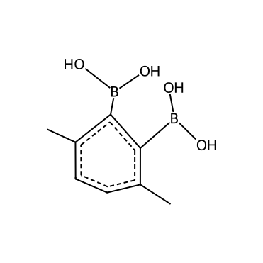 Cc1ccc(C)c(B(O)O)c1B(O)O